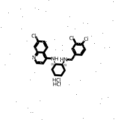 Cl.Cl.Clc1ccc2c(N[C@H]3CCCC[C@@H]3NCc3ccc(Cl)c(Cl)c3)ccnc2c1